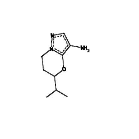 CC(C)C1CCn2ncc(N)c2O1